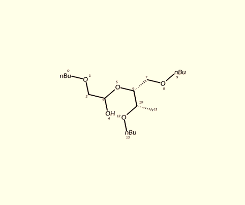 CCCCOCC(O)O[C@H](COCCCC)[C@H](C)OCCCC